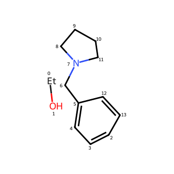 CCO.c1ccc(CN2CCCC2)cc1